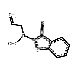 C=CCN(C=O)n1sc2ccccc2c1=O